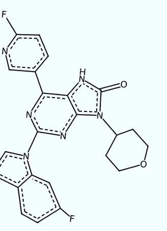 O=c1[nH]c2c(-c3ccc(F)nc3)nc(-n3cnc4ccc(F)cc43)nc2n1C1CCOCC1